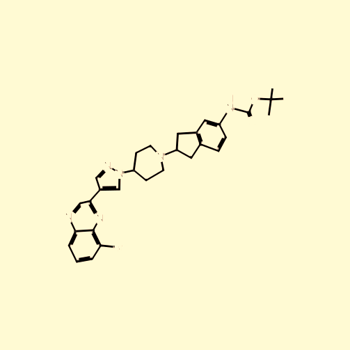 CC(C)(C)OC(=O)Nc1ccc2c(c1)CC(N1CCC(n3cc(-c4cnc5cccc(Br)c5n4)cn3)CC1)C2